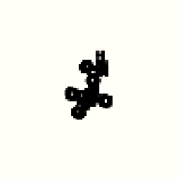 CC(Oc1ccccc1)(Oc1ccccc1)c1nc(Cc2ccc(-c3ccccc3-c3nnn[nH]3)cc2)n(C2CCCCC2)n1